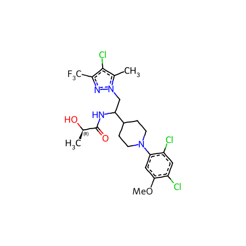 COc1cc(N2CCC(C(Cn3nc(C(F)(F)F)c(Cl)c3C)NC(=O)[C@@H](C)O)CC2)c(Cl)cc1Cl